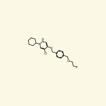 FCCOCc1ccc(COC2=CNN(C3CCCCC3)C=C2Cl)cc1